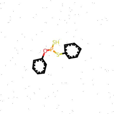 SP(Oc1ccccc1)Sc1ccccc1